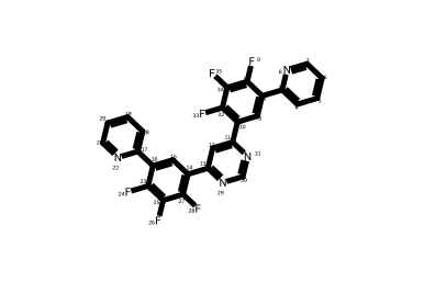 Fc1c(-c2ccccn2)cc(-c2cc(-c3cc(-c4ccccn4)c(F)c(F)c3F)ncn2)c(F)c1F